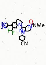 CNC(=O)N1CCc2c(c(N3CCCc4cc(C5=CN(C)NC5)c(C(F)F)cc43)nn2[C@H]2CC[C@H](C#N)CC2)C1